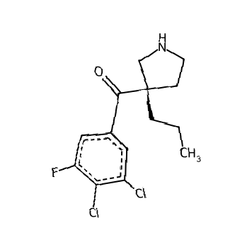 CCC[C@]1(C(=O)c2cc(F)c(Cl)c(Cl)c2)CCNC1